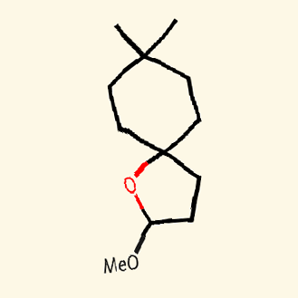 COC1CCC2(CCC(C)(C)CC2)O1